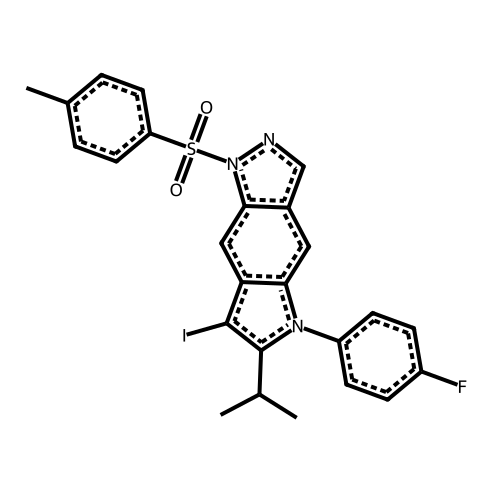 Cc1ccc(S(=O)(=O)n2ncc3cc4c(cc32)c(I)c(C(C)C)n4-c2ccc(F)cc2)cc1